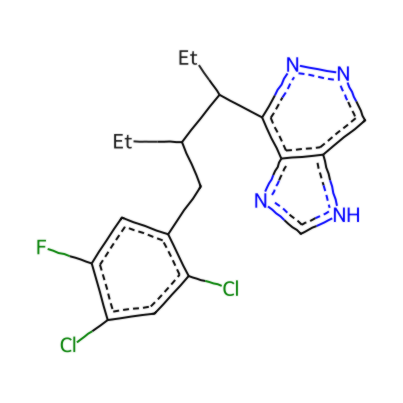 CCC(Cc1cc(F)c(Cl)cc1Cl)C(CC)c1nncc2[nH]cnc12